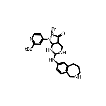 CC(C)N1C(=O)C2CNC(Nc3ccc4c(c3)CCCNC4)NC2N1c1ccnc(C(C)(C)C)c1